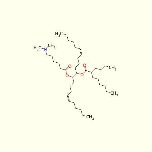 CCCCC/C=C\CCCC(OC(=O)CCCCCN(C)C)C(CCC/C=C\CCCCC)OC(=O)C(CCCC)CCCCCC